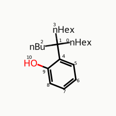 CCCCCCC(CCCC)(CCCCCC)c1ccccc1O